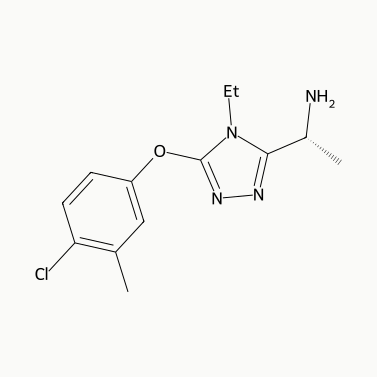 CCn1c(Oc2ccc(Cl)c(C)c2)nnc1[C@@H](C)N